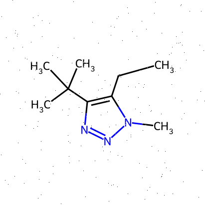 CCc1c(C(C)(C)C)nnn1C